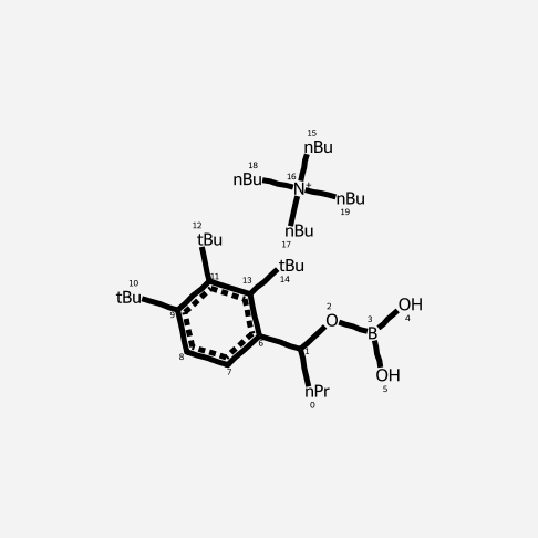 CCCC(OB(O)O)c1ccc(C(C)(C)C)c(C(C)(C)C)c1C(C)(C)C.CCCC[N+](CCCC)(CCCC)CCCC